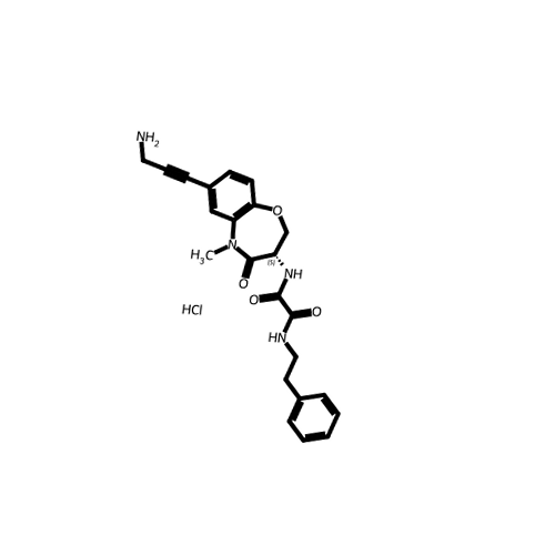 CN1C(=O)[C@@H](NC(=O)C(=O)NCCc2ccccc2)COc2ccc(C#CCN)cc21.Cl